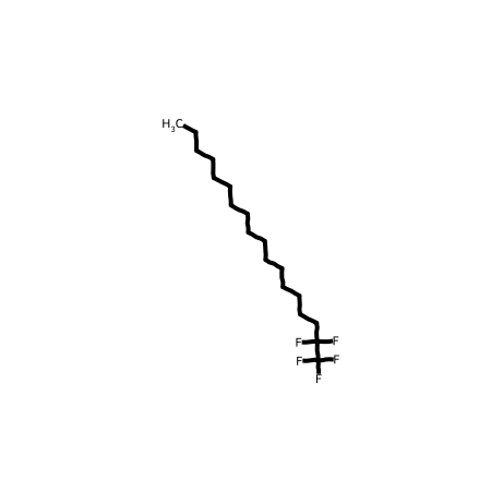 CCCCCCCCCCCCCCCCC(F)(F)C(F)(F)F